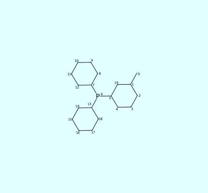 CC1CCCC(P(C2CCCCC2)C2CCCCC2)C1